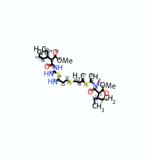 C=C/C(=C\C)C(C(=O)OC)C(=O)N(I)C(=C)SC(=C)CCSCCC(=N)SC(=N)NC(=O)C(C(=O)OC)C(/C=C\C)=C/C